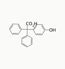 O=C(O)C(c1ccccc1)(c1ccccc1)c1ccc(O)cc1